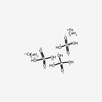 O=P(O)(O)O.O=S(=O)(O)O.O=S(=O)(O)O.[CaH2].[CaH2].[Cu].[Fe]